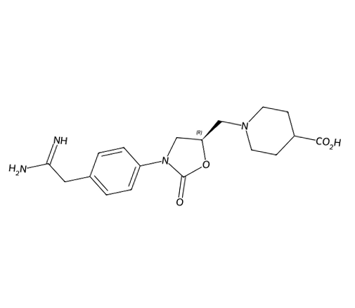 N=C(N)Cc1ccc(N2C[C@@H](CN3CCC(C(=O)O)CC3)OC2=O)cc1